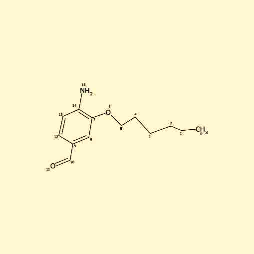 CCCCCCOc1cc(C=O)ccc1N